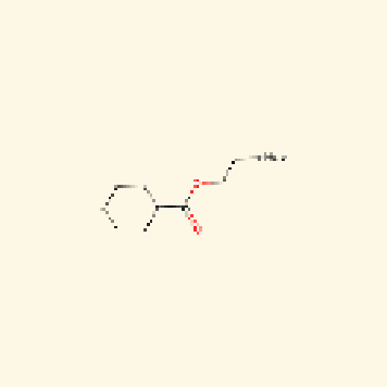 CCCCCCCCOC(=O)C1CC[CH]CC1